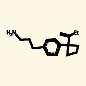 C=C(CC)C1(c2ccc(CCCN)cc2)CCC1